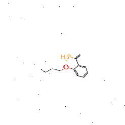 C=C(P)c1ccccc1OCCCC